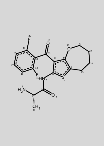 C[C@H](N)C(=O)Nc1sc2c(c1C(=O)c1c(F)cccc1F)OCCCC2